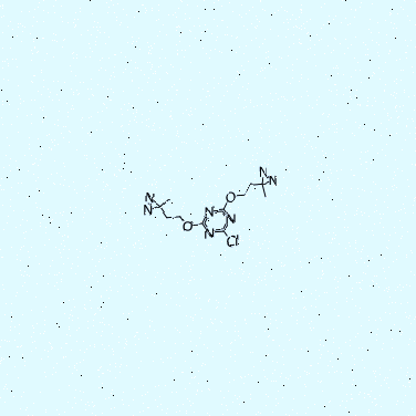 CC1(CCOc2nc(Cl)nc(OCCC3(C)N=N3)n2)N=N1